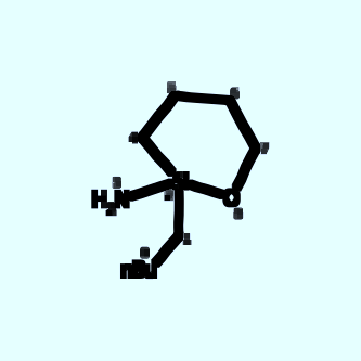 CCCCC[Si]1(N)CCCCO1